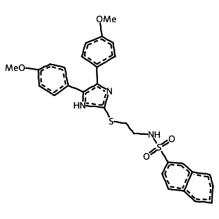 COc1ccc(-c2nc(SCCNS(=O)(=O)c3ccc4ccccc4c3)[nH]c2-c2ccc(OC)cc2)cc1